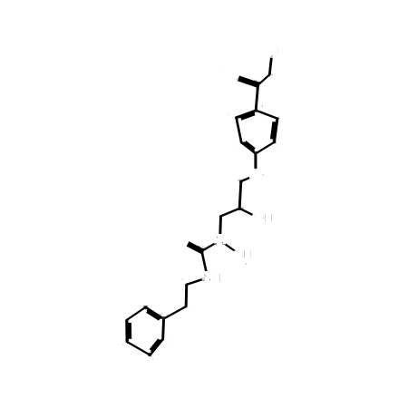 CCC(=O)c1ccc(OCC(O)CN(S)C(=O)NCCc2ccccc2)cc1